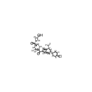 CC(C)c1cc(-c2ccc(Cl)cc2)nn2cc(C(=O)N3CCN(C(=O)[C@H]4C[C@@H](O)C4)CC3(C)C)nc12